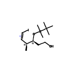 C[C@@H](/C=C\I)[C@H](CCO)O[Si](C)(C)C(C)(C)C